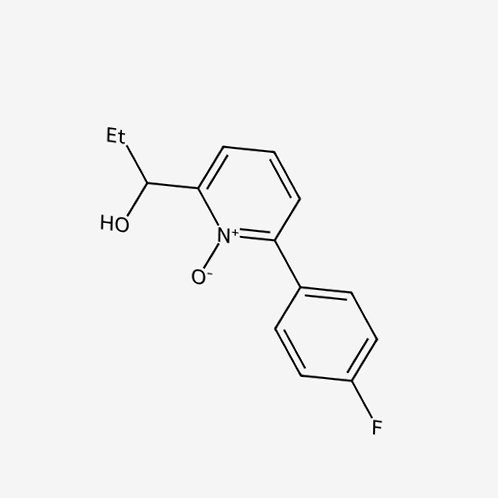 CCC(O)c1cccc(-c2ccc(F)cc2)[n+]1[O-]